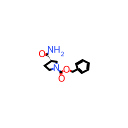 NC(=O)[C@H]1CCN(C(=O)OCc2ccccc2)C1